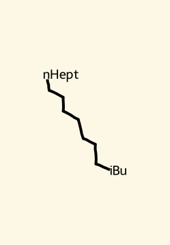 [CH2]CC(C)CCCCCCCCCCCCCC